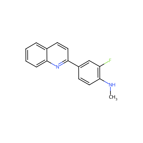 CNc1ccc(-c2ccc3ccccc3n2)cc1F